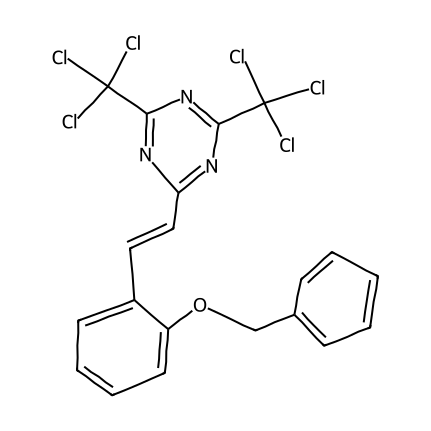 ClC(Cl)(Cl)c1nc(/C=C/c2ccccc2OCc2ccccc2)nc(C(Cl)(Cl)Cl)n1